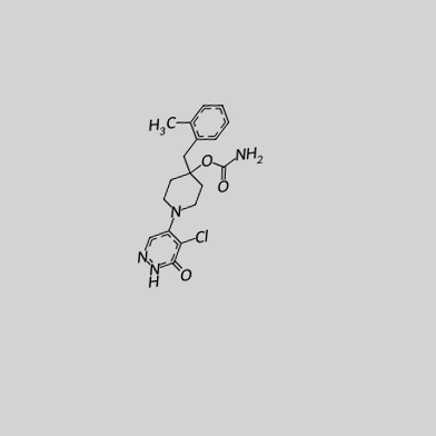 Cc1ccccc1CC1(OC(N)=O)CCN(c2cn[nH]c(=O)c2Cl)CC1